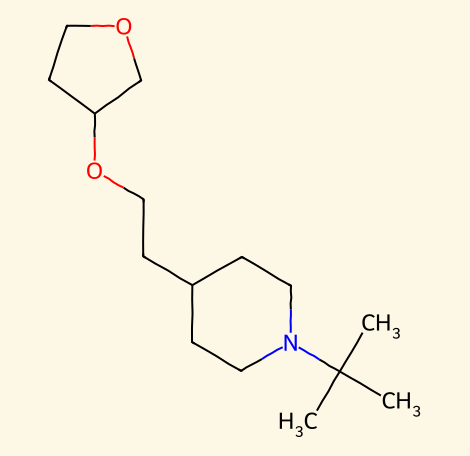 CC(C)(C)N1CCC(CCOC2CCOC2)CC1